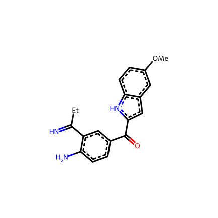 CCC(=N)c1cc(C(=O)c2cc3cc(OC)ccc3[nH]2)ccc1N